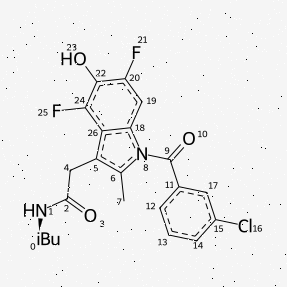 CC[C@H](C)NC(=O)Cc1c(C)n(C(=O)c2cccc(Cl)c2)c2cc(F)c(O)c(F)c12